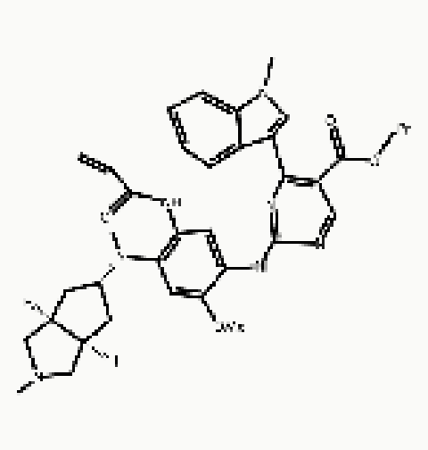 C=CC(=O)Nc1cc(Nc2ncc(C(=O)OC(C)C)c(-c3cn(C)c4ccccc34)n2)c(OC)cc1N(C)[C@H]1C[C@@H]2CN(C)C[C@@H]2C1